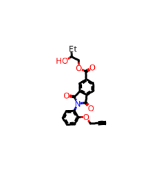 C#CCOc1ccccc1N1C(=O)c2ccc(C(=O)OCC(O)CC)cc2C1=O